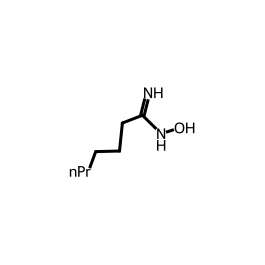 CCCCCCC(=N)NO